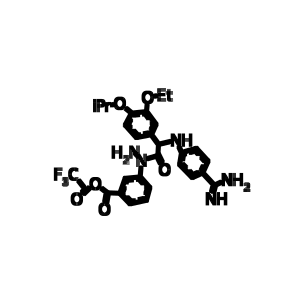 CCOc1cc(C(Nc2ccc(C(=N)N)cc2)C(=O)N(N)c2cccc(C(=O)OC(=O)C(F)(F)F)c2)ccc1OC(C)C